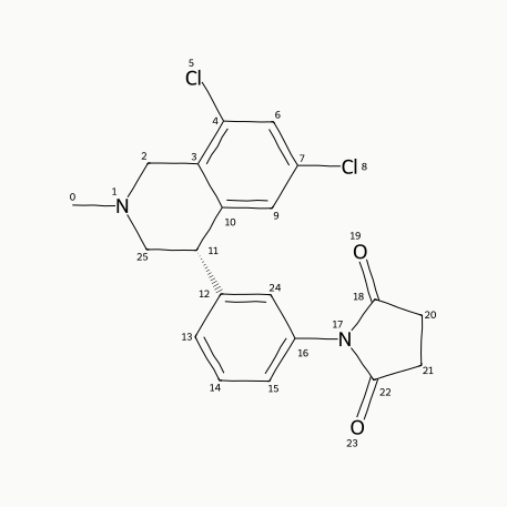 CN1Cc2c(Cl)cc(Cl)cc2[C@H](c2cccc(N3C(=O)CCC3=O)c2)C1